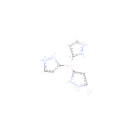 [Cu+].c1cc([BH-](c2cc[nH]n2)c2cc[nH]n2)n[nH]1